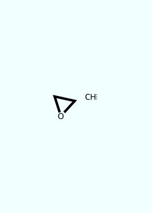 C1CO1.[CH]